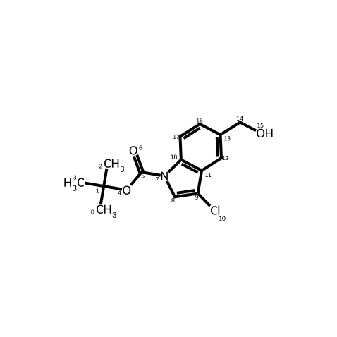 CC(C)(C)OC(=O)n1cc(Cl)c2cc(CO)ccc21